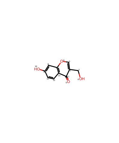 O=c1c(CO)coc2cc(O)ccc12